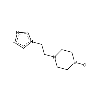 [O-][S+]1CCN(CCn2c[c]nc2)CC1